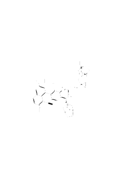 C#Cc1c(F)ccc2cc(O)cc(-c3c(C)cc4c(N5CC6CCC(C5)N6)nc(OCC5(CN6C[C@H]7C[C@@H]6CO7)CC5)nc4c3F)c12